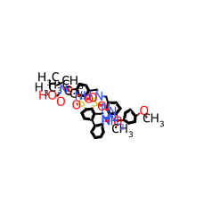 COc1ccc(CN(Cc2ccc(OC)cc2)S(=O)(=O)c2c(S(=O)(=O)NCCN(C(=O)O)C(C)(C)C)ccc(-c3ccccc3N)c2-c2nnn(Cc3ccc(OC)cc3)n2)cc1